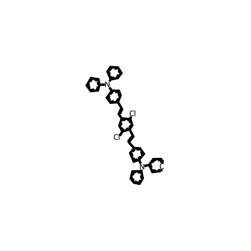 Clc1cc(C=Cc2ccc(N(c3ccccc3)c3ccccc3)cc2)c(Cl)cc1C=Cc1ccc(N(c2ccccc2)c2ccccc2)cc1